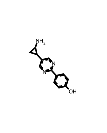 NC1CC1c1cnc(-c2ccc(O)cc2)nc1